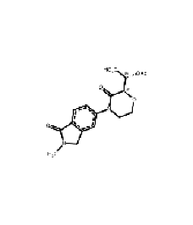 CC(=O)O[C@@H](C(=O)O)[C@H]1OCCN(c2ccc3c(c2)CN(C)C3=O)C1=O